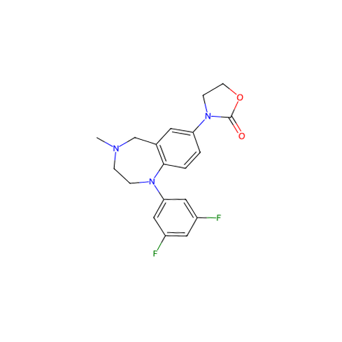 CN1CCN(c2cc(F)cc(F)c2)c2ccc(N3CCOC3=O)cc2C1